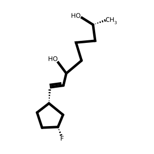 C[C@@H](O)CCCC(O)/C=C/[C@H]1CC[C@@H](F)C1